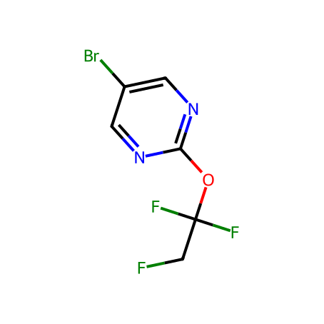 FCC(F)(F)Oc1ncc(Br)cn1